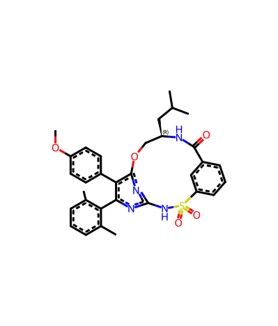 COc1ccc(-c2c3nc(nc2-c2c(C)cccc2C)NS(=O)(=O)c2cccc(c2)C(=O)N[C@H](CC(C)C)CO3)cc1